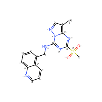 CC(C)c1cnn2c(NCc3cccc4ncccc34)nc(S(C)(=O)=O)nc12